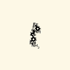 Nc1ncc2cc(-c3ccc(C(=O)Nc4cccc(C(F)(F)F)c4)s3)ccc2n1